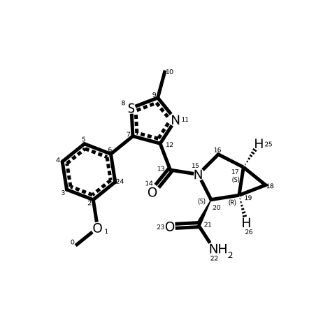 COc1cccc(-c2sc(C)nc2C(=O)N2C[C@H]3C[C@H]3[C@H]2C(N)=O)c1